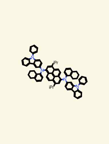 CC(C)c1cc(N(c2ccc3c(c2)c2ccccc2n3-c2ccccc2)c2cccc3c2CCCC3)c2ccc3c(C(C)C)cc(N(c4ccc5c6ccccc6n(-c6ccccc6)c5c4)c4cccc5c4CCCC5)c4ccc1c2c34